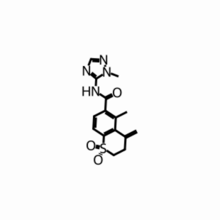 C=C1CCS(=O)(=O)c2ccc(C(=O)Nc3ncnn3C)c(C)c21